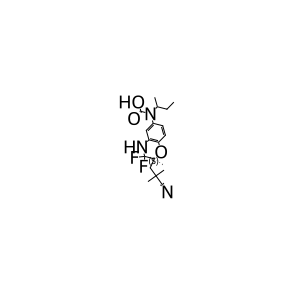 CCC(C)N(C(=O)O)c1ccc2c(c1)NC(F)(F)[C@](C)(CC(C)(C)C#N)O2